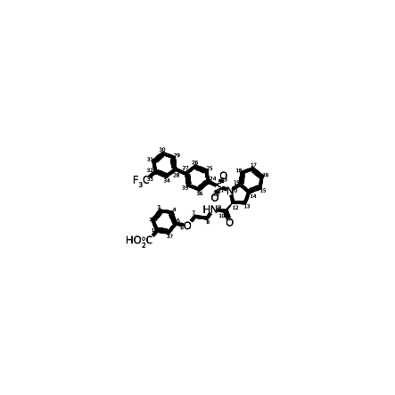 O=C(O)c1cccc(OCCNC(=O)[C@@H]2Cc3ccccc3N2S(=O)(=O)c2ccc(-c3cccc(C(F)(F)F)c3)cc2)c1